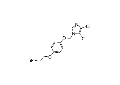 CC(C)CCOc1ccc(OCn2cnc(Cl)c2Cl)cc1